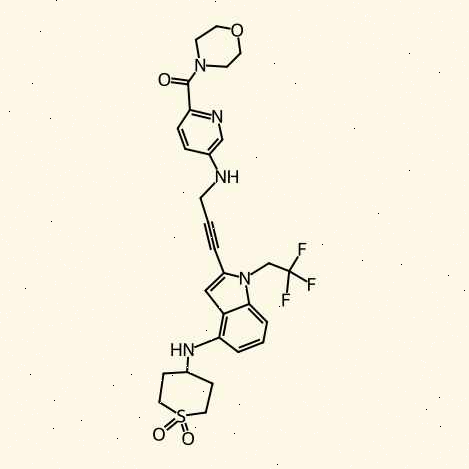 O=C(c1ccc(NCC#Cc2cc3c(NC4CCS(=O)(=O)CC4)cccc3n2CC(F)(F)F)cn1)N1CCOCC1